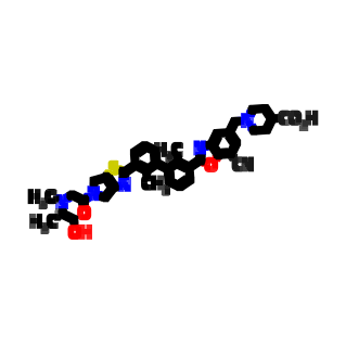 Cc1c(-c2nc3cc(CN4CCC(C(=O)O)CC4)cc(C#N)c3o2)cccc1-c1cccc(-c2nc3c(s2)CN(C(=O)CN(C)[C@@H](C)CO)C3)c1C